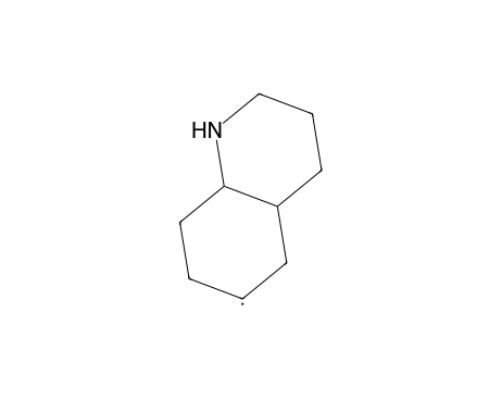 [CH]1CCC2NCCCC2C1